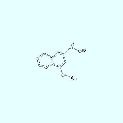 CC(C)(C)Oc1cc(NC=O)cc2ccccc12